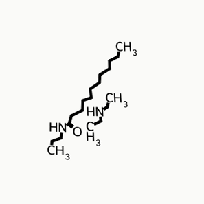 CCCCCCCCCCCC(=O)NCCC.CCNCC